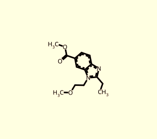 CCc1nc2ccc(C(=O)OC)cc2n1CCOC